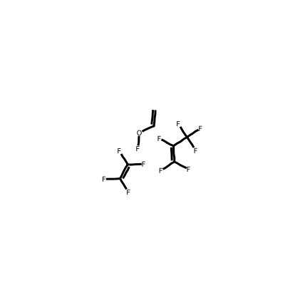 C=COF.FC(F)=C(F)C(F)(F)F.FC(F)=C(F)F